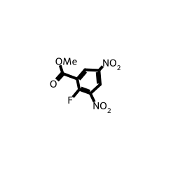 COC(=O)c1cc([N+](=O)[O-])cc([N+](=O)[O-])c1F